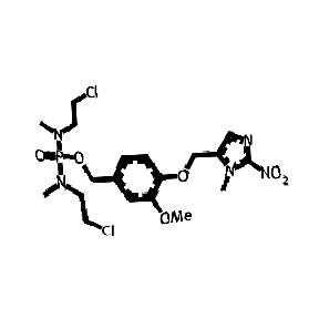 COc1cc(COP(=O)(N(C)CCCl)N(C)CCCl)ccc1OCc1cnc([N+](=O)[O-])n1C